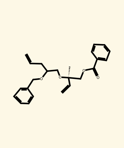 C=CCC(CO[C@](C)(C=C)COC(=O)c1ccccc1)OCc1ccccc1